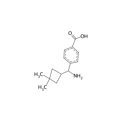 CC1(C)CC(C(N)c2ccc(C(=O)O)cc2)C1